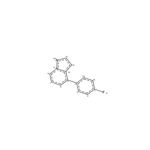 Fc1ccc(-c2cccn3nccc23)cc1